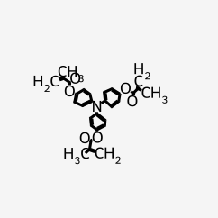 C=C(C)C(=O)Oc1ccc(N(c2ccc(OC(=O)C(=C)C)cc2)c2ccc(OC(=O)C(=C)C)cc2)cc1